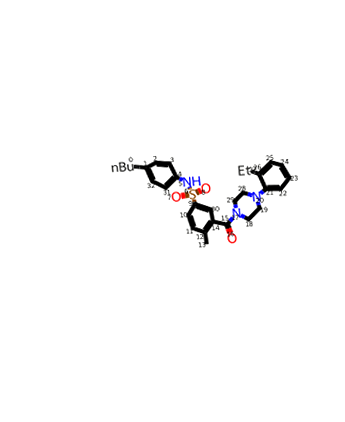 CCCCc1ccc(NS(=O)(=O)c2ccc(C)c(C(=O)N3CCN(c4ccccc4CC)CC3)c2)cc1